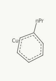 CCCc1ccccc1.[Cu]